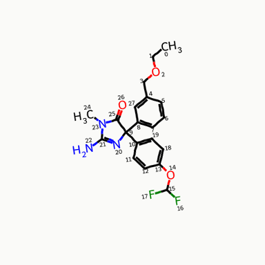 CCOCc1cccc(C2(c3ccc(OC(F)F)cc3)N=C(N)N(C)C2=O)c1